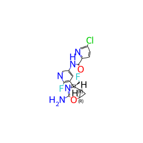 NC1=N[C@](CF)(c2cc(NC(=O)c3ccc(Cl)cn3)cnc2F)[C@H]2C[C@H]2O1